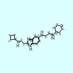 c1cc2[nH]c(CCNC3CCC3)nc2cc1NCCNC1CCOCC1